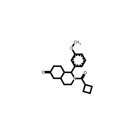 COc1cccc(C2C3CCC(=O)CC3CCN2C(=O)C2CCC2)c1